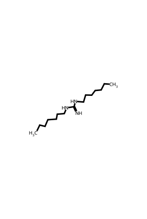 CCCCCCCNC(=N)NCCCCCCC